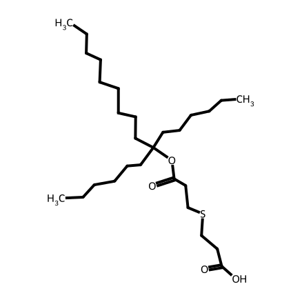 CCCCCCCCCC(CCCCCC)(CCCCCC)OC(=O)CCSCCC(=O)O